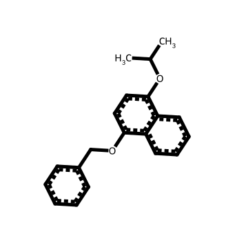 CC(C)Oc1ccc(OCc2ccccc2)c2ccccc12